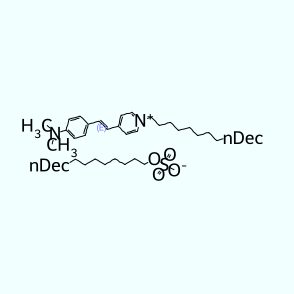 CCCCCCCCCCCCCCCCCCOS(=O)(=O)[O-].CCCCCCCCCCCCCCCCCC[n+]1ccc(/C=C/c2ccc(N(C)C)cc2)cc1